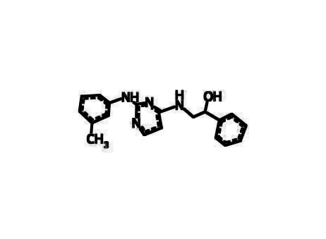 Cc1cccc(Nc2nccc(NCC(O)c3ccccc3)n2)c1